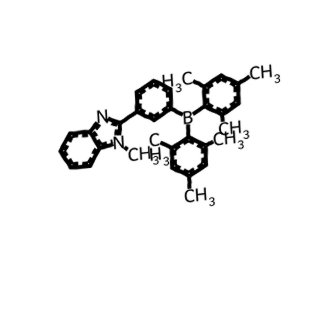 Cc1cc(C)c(B(c2cccc(-c3nc4ccccc4n3C)c2)c2c(C)cc(C)cc2C)c(C)c1